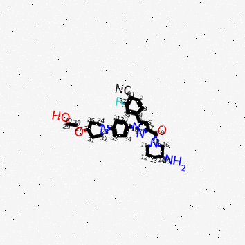 N#Cc1ccc(-c2cc(C(=O)N3CCC[C@@H](N)C3)nn2-c2ccc(N3CCC(OCCO)CC3)cc2)cc1F